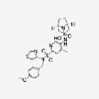 COc1ccc(CN(c2cscn2)S(=O)(=O)c2cc(C)c(N[C@@H]3C[C@H]4CC[C@@H](C3)N4C(=O)O)cn2)cc1